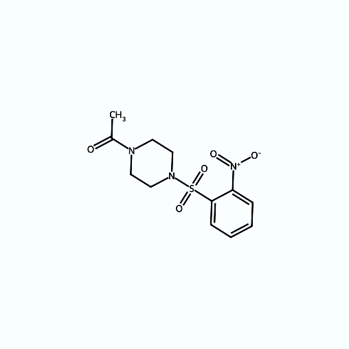 CC(=O)N1CCN(S(=O)(=O)c2ccccc2[N+](=O)[O-])CC1